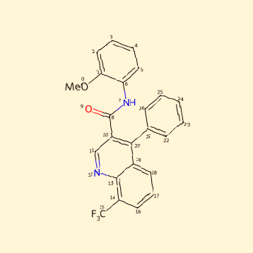 COc1ccccc1NC(=O)c1cnc2c(C(F)(F)F)cccc2c1-c1ccccc1